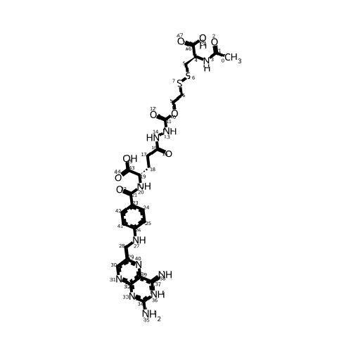 CC(=O)N[C@@H](CSSCCOC(=O)NNC(=O)CC[C@H](NC(=O)c1ccc(NCc2cnc3nc(N)[nH]c(=N)c3n2)cc1)C(=O)O)C(=O)O